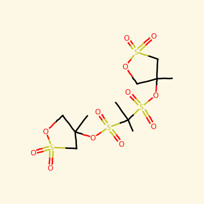 CC1(OS(=O)(=O)C(C)(C)S(=O)(=O)OC2(C)COS(=O)(=O)C2)COS(=O)(=O)C1